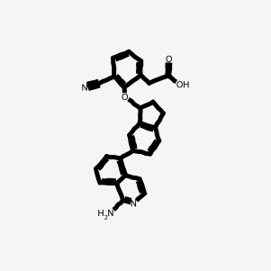 N#Cc1cccc(CC(=O)O)c1OC1CCc2ccc(-c3cccc4c(N)nccc34)cc21